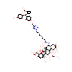 CC(=O)O[C@H]1[C@H]2[C@@H]([C@@H](O)[C@@H](NC(=O)CCCCCCn3cc(COc4ccc5c(c4)Oc4cc(O)ccc4C54OC(=O)c5ccccc54)nn3)C3C[C@@H]4O[C@@H]4[C@H](O)[C@@]32C)[C@@H]2[C@@H](O)[C@@H]3[C@H]([C@H](C)C=C4OC(=O)[C@@](C)(O)[C@@]43C)[C@@]2(C(C)=O)[C@H]1O